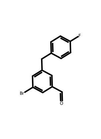 O=Cc1cc(Br)cc(Cc2ccc(F)cc2)c1